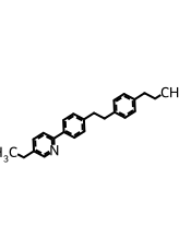 CCCc1ccc(CCc2ccc(-c3ccc(CC)cn3)cc2)cc1